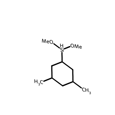 CO[SiH](OC)C1CC(C)CC(C)C1